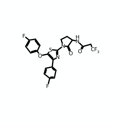 O=C(CC(F)(F)F)NC1CCN(c2nc(-c3ccc(F)cc3)c(Oc3ccc(F)cc3)s2)C1=O